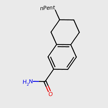 CCCCCC1CCc2ccc(C(N)=O)cc2C1